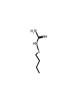 CCCCSNC(=N)N